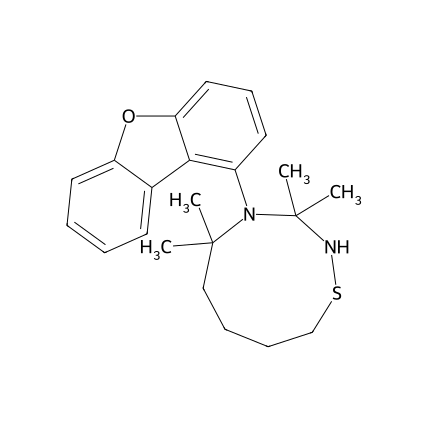 CC1(C)CCCCSNC(C)(C)N1c1cccc2oc3ccccc3c12